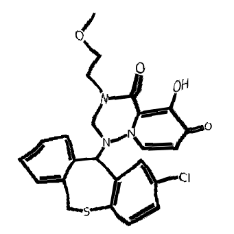 COCCN1CN(C2c3ccccc3CSc3ccc(Cl)cc32)n2ccc(=O)c(O)c2C1=O